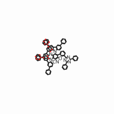 N#Cc1c(-n2c3ccc(-c4ccccc4)cc3c3cc(-c4ccccc4)ccc32)c(-n2c3ccc(-c4ccccc4)cc3c3cc(-c4ccccc4)ccc32)c(-n2c3ccc(-c4ccccc4)cc3c3cc(-c4ccccc4)ccc32)c2c1oc1c(-c3nc(-c4ccccc4)nc(-c4ccccc4)n3)cccc12